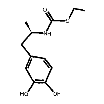 CCOC(=O)N[C@H](C)Cc1ccc(O)c(O)c1